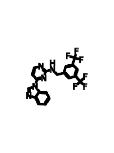 FC(F)(F)c1cc(CNc2nccc(-n3cnc4ccccc43)n2)cc(C(F)(F)F)c1